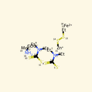 CCN(CC)C(=S)[S-].CCN(CC)C(=S)[S-].CCS[S][Zn+].NC(=O)[O-].[Fe+2].[Mg+2]